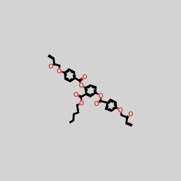 C=CC(=O)COc1ccc(C(=O)Oc2ccc(OC(=O)c3ccc(OCC(=O)C=C)cc3)c(C(=O)OCCCCC)c2)cc1